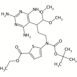 CCOC(=O)c1ccc(N(CCC(c2c(N)nc(N)nc2N)C(OC)OC)C(=O)OC(C)(C)C)s1